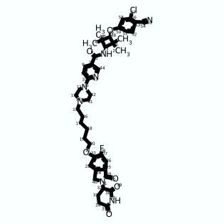 CC1(C)[C@H](NC(=O)c2ccc(N3CCN(CCCCCCOc4cc5c(cc4F)C(=O)N(C4CCC(=O)NC4=O)C5)CC3)nc2)C(C)(C)[C@H]1Oc1ccc(C#N)c(Cl)c1